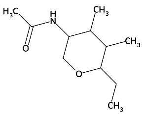 CCC1OCC(NC(C)=O)C(C)C1C